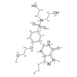 CCCc1nn(C)c2c(=O)[nH]c(-c3cc(S(=O)(=O)N(CCO)CCO)ccc3OCCOC)nc12